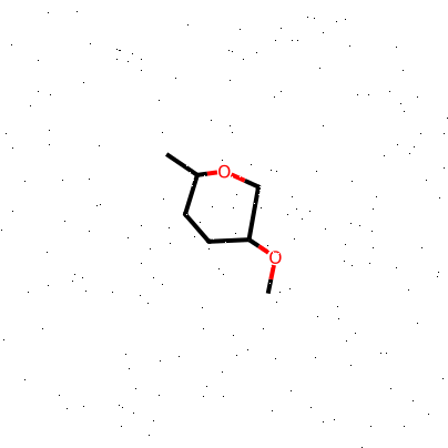 COC1CCC(C)OC1